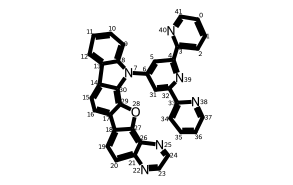 c1ccc(-c2cc(-n3c4ccccc4c4ccc5c6ccc7nccnc7c6oc5c43)cc(-c3ccccn3)n2)nc1